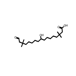 CC(C)(CC=O)CCCCCC(O)CCCCCC(C)(C)CC(=O)O